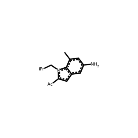 CC(=O)c1cc2cc(N)cc(C)c2n1CC(C)C